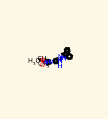 CC(C)(C)OC(=O)N1CCN(c2ccc(Nc3ncc4c(n3)C3(CCCCC3)c3ccccc3-4)cc2)CC1